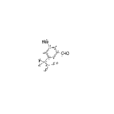 CC(C)(C)c1cc(C=O)cc(C2(C(F)F)CC2)c1